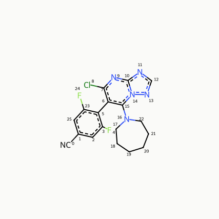 N#Cc1cc(F)c(-c2c(Cl)nc3ncnn3c2N2CCCCCC2)c(F)c1